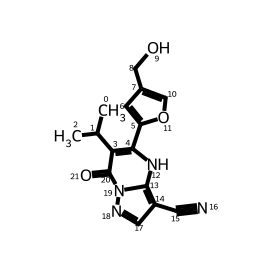 CC(C)c1c(-c2cc(CO)co2)[nH]c2c(C#N)cnn2c1=O